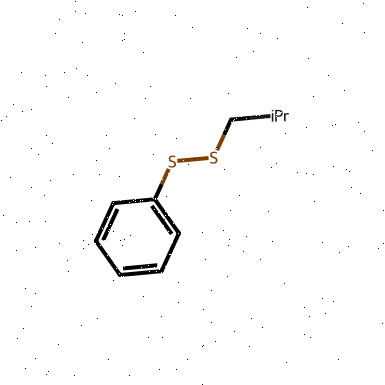 CC(C)CSSc1ccccc1